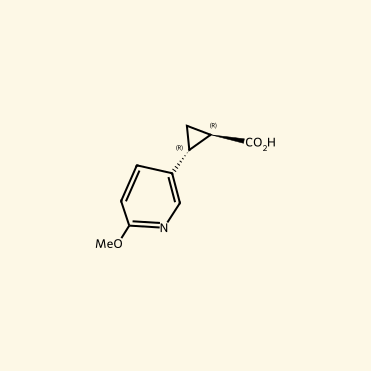 COc1ccc([C@@H]2C[C@H]2C(=O)O)cn1